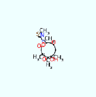 C/C(=C\c1csc(C)n1)C1CC2OC2CCC[C@H](C)[C@H](O)[C@@H](C)C(=O)[C@H](C)CCC(=O)O1